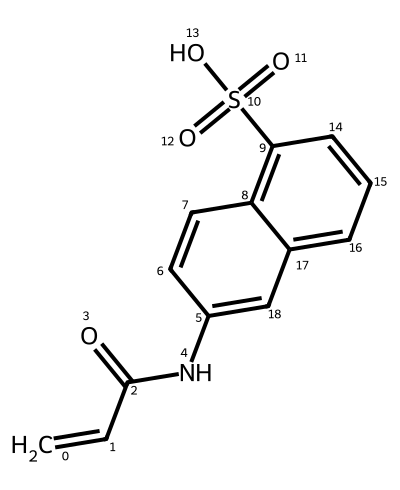 C=CC(=O)Nc1ccc2c(S(=O)(=O)O)cccc2c1